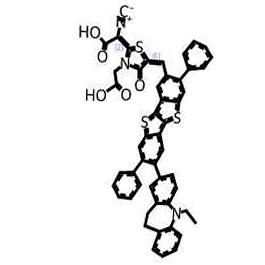 [C-]#[N+]/C(C(=O)O)=c1\s/c(=C/c2cc3c(cc2-c2ccccc2)sc2c4cc(-c5ccc6c(c5)CCc5ccccc5N6CC)c(-c5ccccc5)cc4sc32)c(=O)n1CC(=O)O